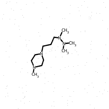 CN1CCN(CCCN(C)N(C)C)CC1